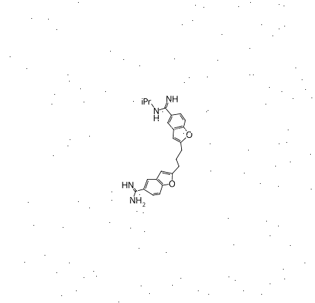 CC(C)NC(=N)c1ccc2oc(CCCc3cc4cc(C(=N)N)ccc4o3)cc2c1